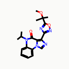 COC(C)(C)c1nc(-c2ncn3c2c(=O)n(C(C)C)c2ccccc23)no1